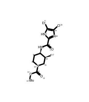 CCc1[nH]c(C(=O)N[C@@H]2CCN(C(=O)OC(C)(C)C)C[C@@H]2F)nc1Cl